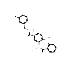 CCN1C(=O)c2ccccc2[S+]([O-])c2ccc(C(=O)NCc3cccc(C)c3)cc21